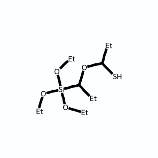 CCO[Si](OCC)(OCC)C(CC)OC(S)CC